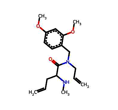 C=CCC(NC)C(=O)N(CC=C)Cc1ccc(OC)cc1OC